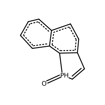 O=[PH]1C=Cc2ccc3ccccc3c21